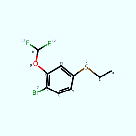 CCSc1ccc(Br)c(OC(F)F)c1